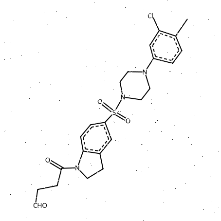 Cc1ccc(N2CCN(S(=O)(=O)c3ccc4c(c3)CCN4C(=O)CCC=O)CC2)cc1Cl